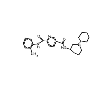 Nc1ccccc1NC(=O)c1ccc(C(=O)NC2CCCN(C3CCCCC3)C2)cn1